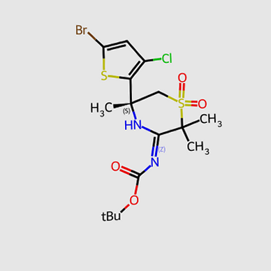 CC(C)(C)OC(=O)/N=C1\N[C@](C)(c2sc(Br)cc2Cl)CS(=O)(=O)C1(C)C